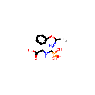 CC(N)Oc1ccccc1.O=C(O)CNCP(=O)(O)O